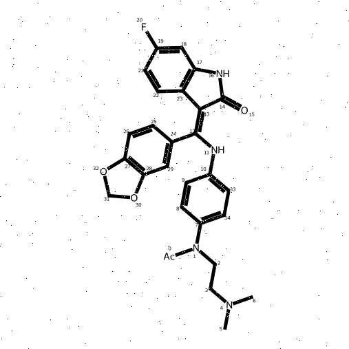 CC(=O)N(CCN(C)C)c1ccc(N/C(=C2\C(=O)Nc3cc(F)ccc32)c2ccc3c(c2)OCO3)cc1